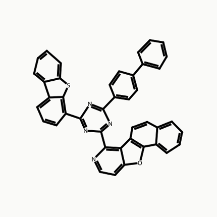 c1ccc(-c2ccc(-c3nc(-c4cccc5c4sc4ccccc45)nc(-c4nccc5oc6c7ccccc7ccc6c45)n3)cc2)cc1